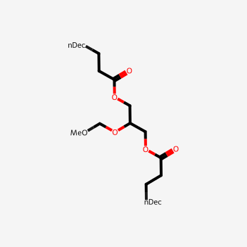 CCCCCCCCCCCCC(=O)OCC(COC(=O)CCCCCCCCCCCC)OCOC